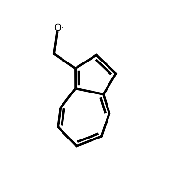 [O]Cc1ccc2cccccc1-2